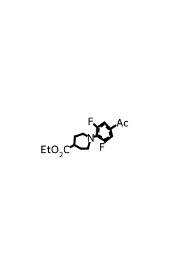 CCOC(=O)C1CCN(c2c(F)cc(C(C)=O)cc2F)CC1